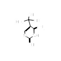 C=C1NC=C(C(C)(C)C)C(=C)N1